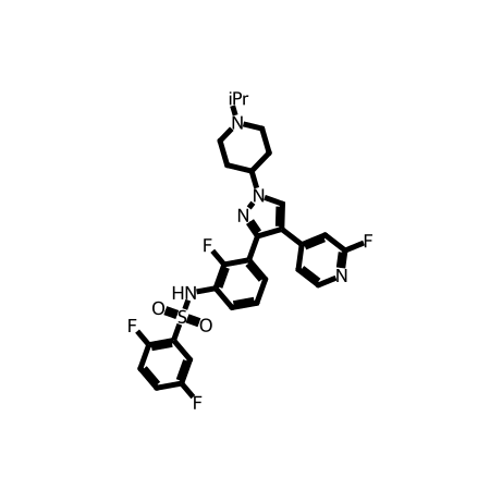 CC(C)N1CCC(n2cc(-c3ccnc(F)c3)c(-c3cccc(NS(=O)(=O)c4cc(F)ccc4F)c3F)n2)CC1